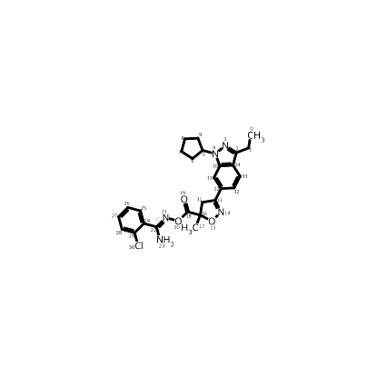 CCc1nn(C2CCCC2)c2cc(C3=NOC(C)(C(=O)O/N=C(\N)c4ccccc4Cl)C3)ccc12